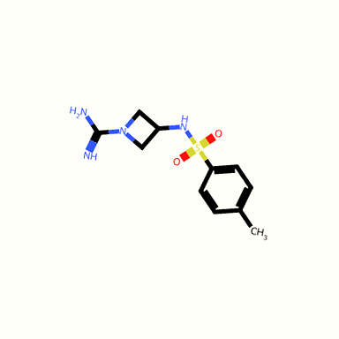 Cc1ccc(S(=O)(=O)NC2CN(C(=N)N)C2)cc1